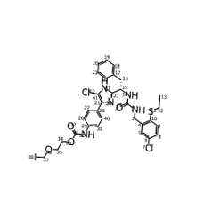 O=C(NCc1cc(Cl)ccc1SCI)N[C@@H](Cc1ccccc1)c1nc(-c2ccc(NC(=O)OCCOCI)cc2)c(Cl)[nH]1